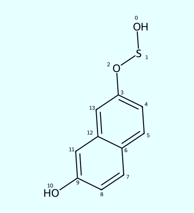 OSOc1ccc2ccc(O)cc2c1